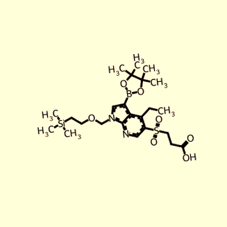 CCc1c(S(=O)(=O)CCC(=O)O)cnc2c1c(B1OC(C)(C)C(C)(C)O1)cn2COCC[Si](C)(C)C